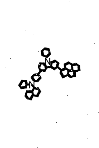 c1ccc(N(c2ccc(-c3ccc4c(c3)c3cc(-c5ccc6ccc7cccc8ccc5c6c78)ccc3n4-c3ccccc3)cc2)c2cccc3ccccc23)cc1